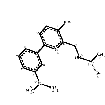 CC(C)[C@@H](C)NCc1nc(-c2cccc(N(C)C)c2)ccc1F